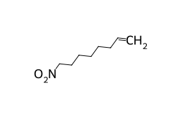 C=CCCCCCC[N+](=O)[O-]